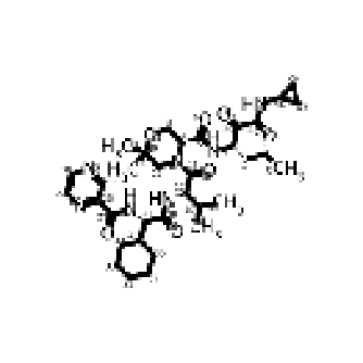 CCC[C@H](NC(=O)[C@@H]1COC(C)(C)CN1C(=O)[C@@H](NC(=O)[C@@H](NC(=O)c1cnccn1)C1CCCCC1)C(C)C)C(=O)C(=O)NC1CC1